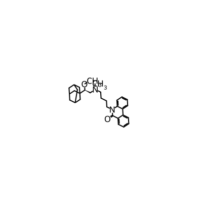 CO[C@@H](CN(C)CCCCn1c(=O)c2ccccc2c2ccccc21)C12CC3CC(CC(C3)C1)C2